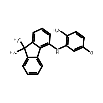 CC1(C)c2ccccc2-c2c(Nc3cc(Cl)ccc3N)cccc21